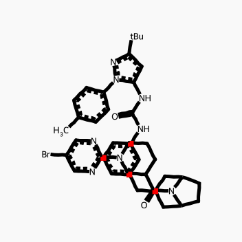 Cc1ccc(-n2nc(C(C)(C)C)cc2NC(=O)Nc2cccc(CC3CC4CCC(C3)N4C(=O)C3CCCN(c4ncc(Br)cn4)C3)c2)cc1